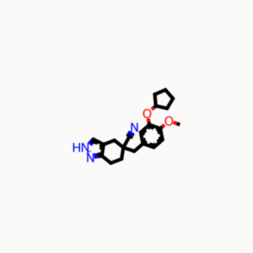 COc1ccc(CC2(C#N)CCc3n[nH]cc3C2)cc1OC1CCCC1